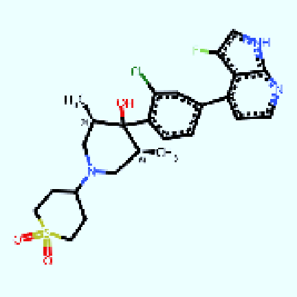 C[C@@H]1CN(C2CCS(=O)(=O)CC2)C[C@H](C)C1(O)c1ccc(-c2ccnc3[nH]cc(F)c23)cc1Cl